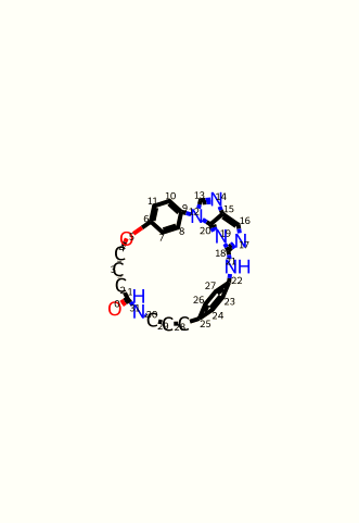 O=C1CCCOc2ccc(cc2)-n2cnc3cnc(nc32)Nc2ccc(cc2)CCCN1